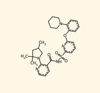 CC1CN(c2ncccc2C(=O)NS(=O)(=O)c2cccc(Oc3ccccc3N3CCCCC3)n2)C(C)(C)C1